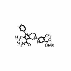 COC(=O)c1cnc(N2CCc3c(c(C(N)=O)c(C)n3-c3ccccc3)C2)cc1C(F)(F)F